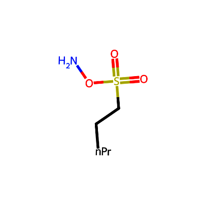 CCCCCS(=O)(=O)ON